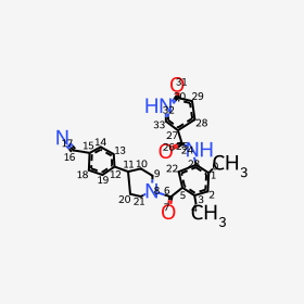 Cc1cc(C)c(C(=O)N2CCC(c3ccc(C#N)cc3)CC2)cc1NC(=O)c1ccc(=O)[nH]c1